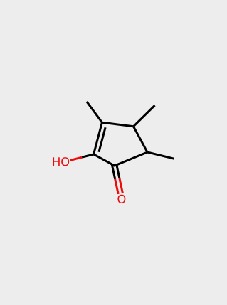 CC1=C(O)C(=O)C(C)C1C